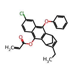 C=CC(=O)Oc1c2c(c(Oc3ccccc3)c3cc(Cl)ccc13)C1C=C(CC)C2C1